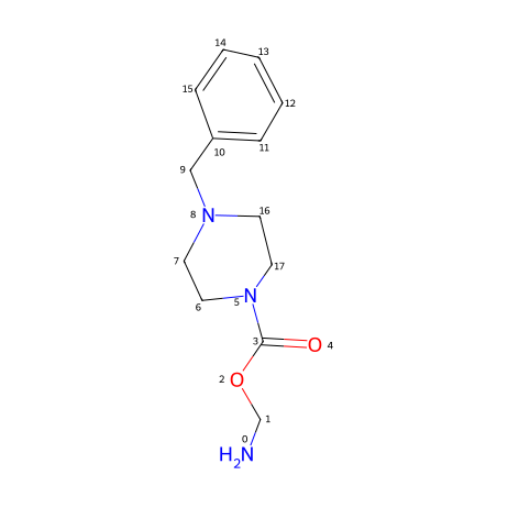 NCOC(=O)N1CCN(Cc2ccccc2)CC1